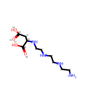 NCCNCCNCCNC(CC(=O)O)C(=O)O